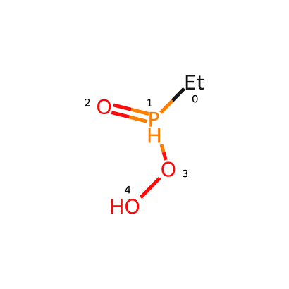 CC[PH](=O)OO